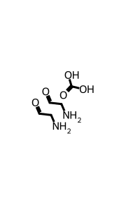 NCC=O.NCC=O.O=C(O)O